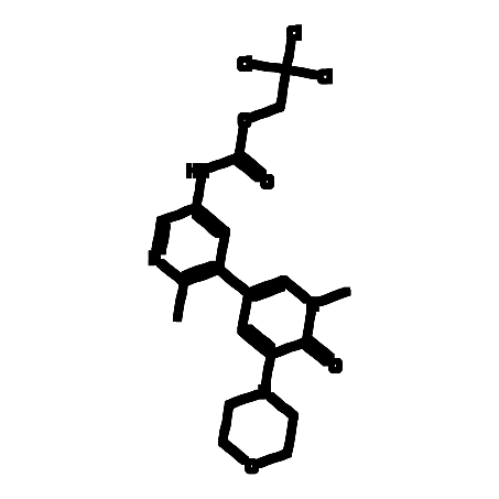 Cc1ncc(NC(=O)OCC(Cl)(Cl)Cl)cc1-c1cc(N2CCOCC2)c(=O)n(C)c1